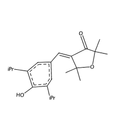 CC(C)c1cc(C=C2C(=O)C(C)(C)OC2(C)C)cc(C(C)C)c1O